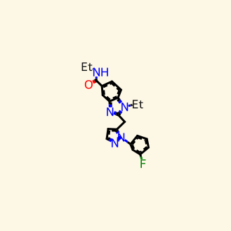 CCNC(=O)c1ccc2c(c1)nc(Cc1ccnn1-c1cccc(F)c1)n2CC